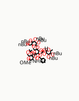 CCCCOCC1O[C@H](O[C@H]2C(C)O[C@@H](OC3C(NC(C)=O)[C@H](OC)OC4COC(C)(C)O[C@H]43)C(OC(=O)c3ccccc3)C2OC2(C)OC3C(OCCCC)[C@@H](OCCCC)C(C)O[C@@H]3O2)C(OCCCC)C(OCCCC)[C@@H]1OCCCC